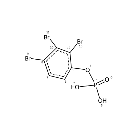 O=P(O)(O)Oc1ccc(Br)c(Br)c1Br